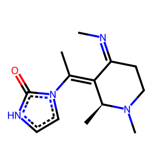 C/N=C1/CCN(C)[C@@H](C)/C1=C(/C)n1cc[nH]c1=O